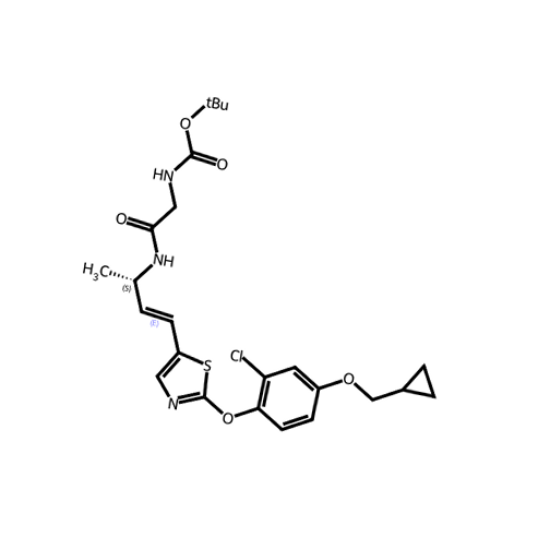 C[C@@H](/C=C/c1cnc(Oc2ccc(OCC3CC3)cc2Cl)s1)NC(=O)CNC(=O)OC(C)(C)C